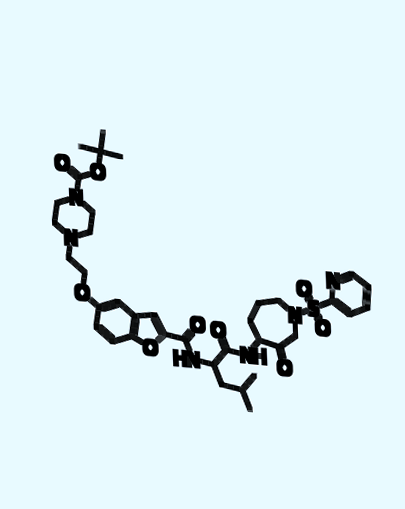 CC(C)CC(NC(=O)c1cc2cc(OCCN3CCN(C(=O)OC(C)(C)C)CC3)ccc2o1)C(=O)NC1CCCN(S(=O)(=O)c2ccccn2)CC1=O